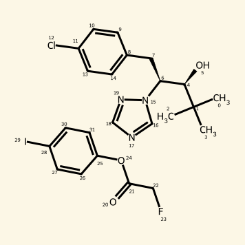 CC(C)(C)[C@H](O)[C@H](Cc1ccc(Cl)cc1)n1cncn1.O=C(CF)Oc1ccc(I)cc1